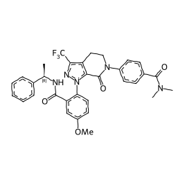 COc1ccc(-n2nc(C(F)(F)F)c3c2C(=O)N(c2ccc(C(=O)N(C)C)cc2)CC3)c(C(=O)N[C@H](C)c2ccccc2)c1